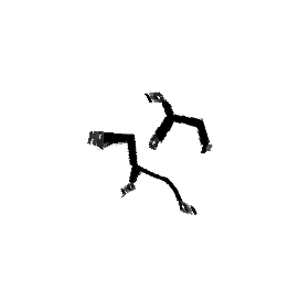 O=C(O)CF.OCC(O)CO